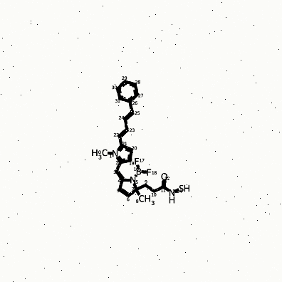 Cn1c(/C=C2/C=CC(C)(CCC(=O)NS)N2B(F)F)ccc1/C=C/C=C/c1ccccc1